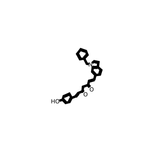 O=C(C=Cc1ccc(O)cc1)CC(=O)C=Cc1ccc2ccn(Cc3ccccc3)c2c1